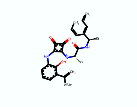 C=C/C=C(\C=C/C)[C@@H](CC)NC(=O)[C@@H](Nc1c(Nc2cccc(C(=C)NC)c2O)c(=O)c1=O)C(C)C